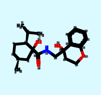 CC(C)[C@@H]1CC[C@@H](C)C[C@@]1(O)C(=O)NCC1(O)CCOc2ccccc21